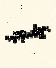 NC(=O)CC[C@H](NC(=O)CCC[C@H]1CNc2nc(N)nc(O)c2C1)C(=O)O